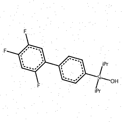 CC(C)[Si](O)(c1ccc(-c2cc(F)c(F)cc2F)cc1)C(C)C